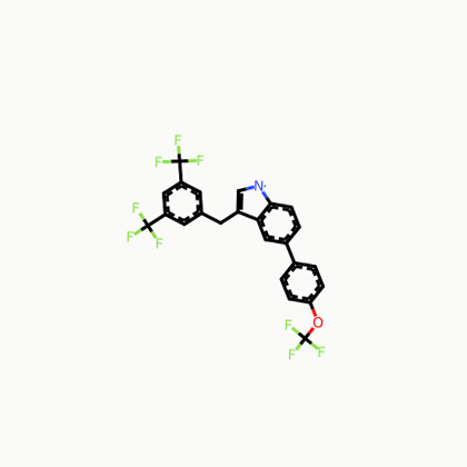 FC(F)(F)Oc1ccc(-c2ccc3c(c2)C(Cc2cc(C(F)(F)F)cc(C(F)(F)F)c2)=C[N]3)cc1